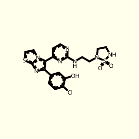 O=S1(=O)NCCN1CCNc1nccc(-c2c(-c3ccc(Cl)c(O)c3)nc3sccn23)n1